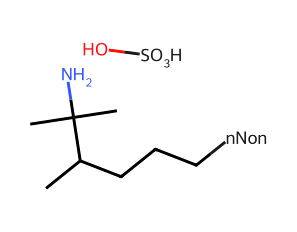 CCCCCCCCCCCCC(C)C(C)(C)N.O=S(=O)(O)O